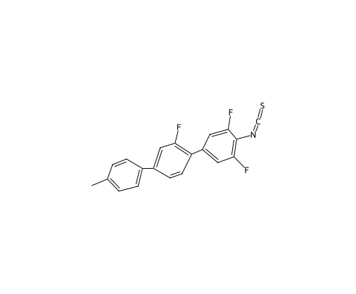 Cc1ccc(-c2ccc(-c3cc(F)c(N=C=S)c(F)c3)c(F)c2)cc1